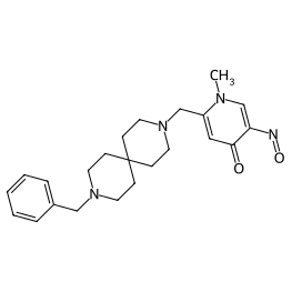 Cn1cc(N=O)c(=O)cc1CN1CCC2(CCN(Cc3ccccc3)CC2)CC1